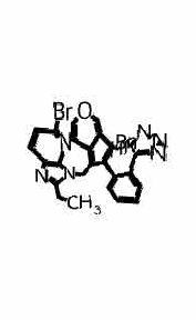 CCc1nc2ccc(Br)nc2n1Cc1c2ccocc-2c(Br)c1-c1ccccc1-c1nnn[nH]1